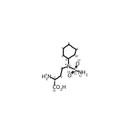 N[C@@H](CCN(C1CCCCC1)S(N)(=O)=O)C(=O)O